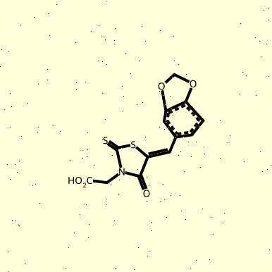 O=C(O)CN1C(=O)C(=Cc2ccc3c(c2)OCO3)SC1=S